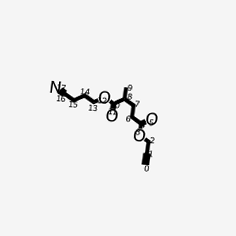 C#CCOC(=O)CCC(C)C(=O)OCCCC#N